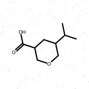 CC(C)C1COCC(C(=O)O)C1